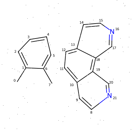 Cc1ccccc1C.c1cc2ccc3ccncc3c2cn1